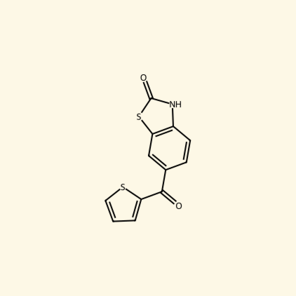 O=C(c1ccc2[nH]c(=O)sc2c1)c1cccs1